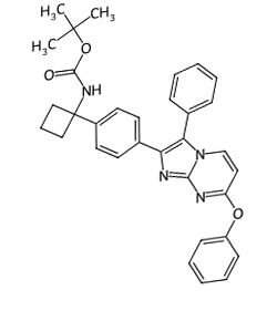 CC(C)(C)OC(=O)NC1(c2ccc(-c3nc4nc(Oc5ccccc5)ccn4c3-c3ccccc3)cc2)CCC1